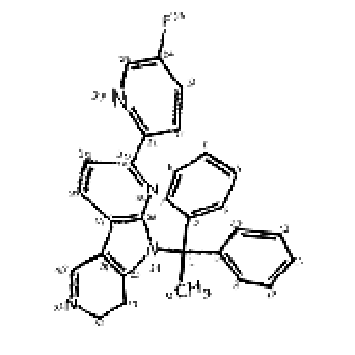 CC(c1ccccc1)(c1ccccc1)n1c2c(c3ccc(-c4ccc(F)cn4)nc31)C=NCC2